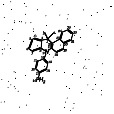 CC1(C)c2ccccc2N(c2ccc(P)cc2)c2ccc3ccccc3c21